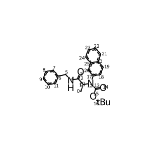 C[C@@H](C(=O)NCc1ccccc1)N(C(=O)OC(C)(C)C)c1ccc2ccccc2c1